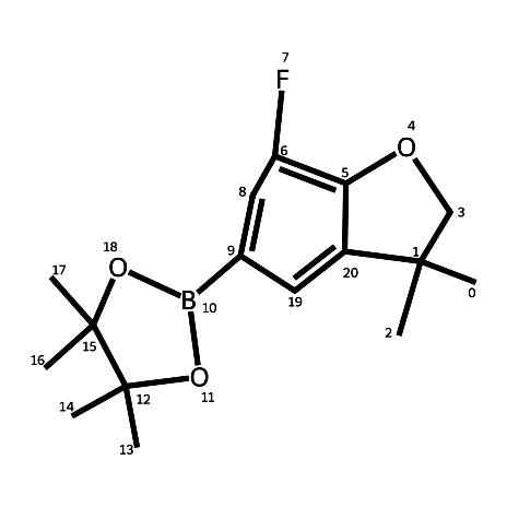 CC1(C)COc2c(F)cc(B3OC(C)(C)C(C)(C)O3)cc21